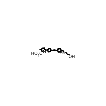 Cc1ccc(-c2ccc(C#Cc3ccc(CNCCCO)cc3)cc2)nc1C(=O)O